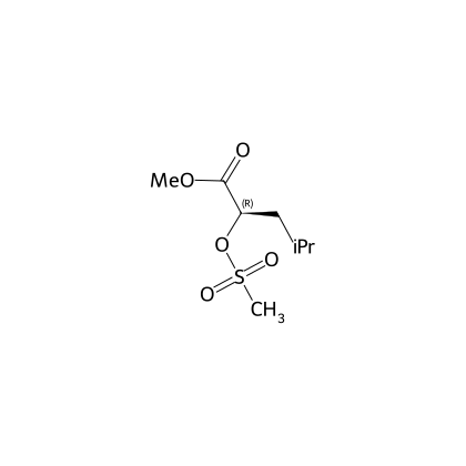 COC(=O)[C@@H](CC(C)C)OS(C)(=O)=O